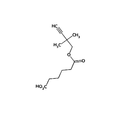 C#CC(C)(C)COC(=O)CCCCC(=O)O